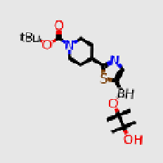 CC(C)(C)OC(=O)N1CCC(c2ncc(BOC(C)(C)C(C)(C)O)s2)CC1